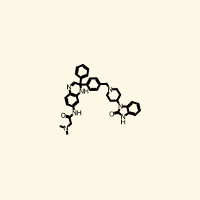 CN(C)CC(=O)Nc1ccc2c(c1)NC(c1ccccc1)(c1ccc(CN3CCC(n4c(=O)[nH]c5ccccc54)CC3)cc1)C=N2